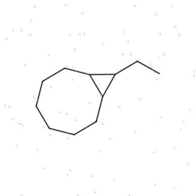 CCC1C2CCCCCCC12